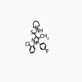 C[C@H]1C(C(=S)NN2CCCCC2)=NN(c2ccccc2Cl)[C@H]1c1ccc(F)cc1